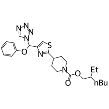 CCCCC(CC)COC(=O)N1CCC(c2nc(C(Oc3ccccc3)n3cnnn3)cs2)CC1